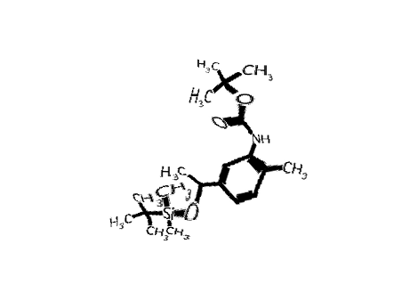 Cc1ccc(C(C)O[Si](C)(C)C(C)(C)C)cc1NC(=O)OC(C)(C)C